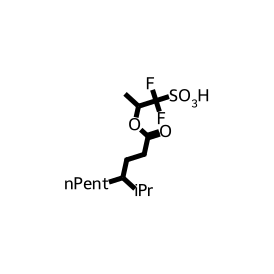 CCCCCC(CCC(=O)OC(C)C(F)(F)S(=O)(=O)O)C(C)C